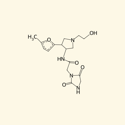 Cc1ccc(C2CN(CCO)CC2NC(=O)CN2C(=O)CNC2=O)o1